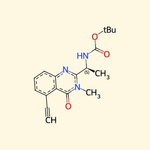 C#Cc1cccc2nc([C@H](C)NC(=O)OC(C)(C)C)n(C)c(=O)c12